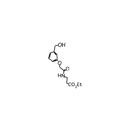 CCOC(=O)CCNC(=O)COc1cccc(CO)c1